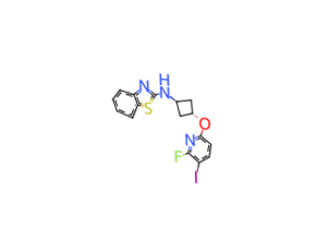 Fc1nc(O[C@H]2C[C@H](Nc3nc4ccccc4s3)C2)ccc1I